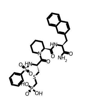 NC(=O)[C@H](Cc1ccc2ccccc2c1)NC(=O)[C@@H]1CCCCN1C(=O)[C@H](CSCP(=O)(O)O)NS(=O)(=O)c1ccccc1